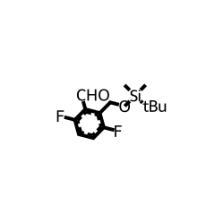 CC(C)(C)[Si](C)(C)OCc1c(F)ccc(F)c1C=O